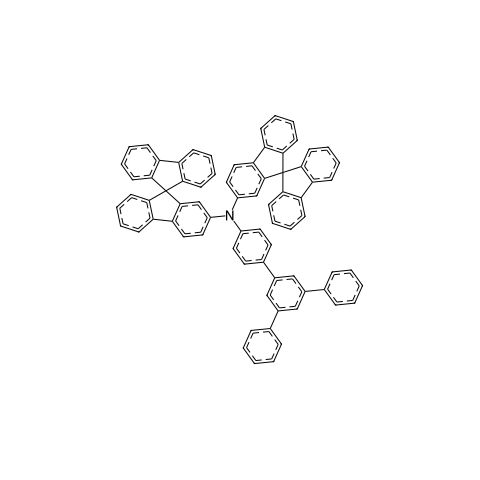 c1ccc(-c2cc(-c3ccccc3)cc(-c3ccc(N(c4ccc5c(c4)C4(c6ccccc6-c6ccccc64)c4ccccc4-5)c4ccc5c(c4)C4(c6ccccc6-c6ccccc64)c4ccccc4-5)cc3)c2)cc1